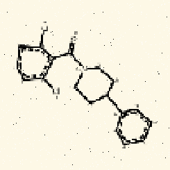 O=C(c1c(Cl)cccc1Cl)N1CCC(c2[c]cccc2)CC1